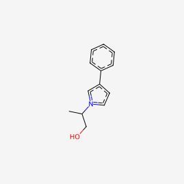 CC(CO)n1ccc(-c2ccccc2)c1